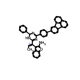 C/C=C(/C1=NC(c2ccc(-c3ccc4c(c3)-c3cccc5cccc-4c35)cc2)=NC(c2ccccc2)N1)c1c(N)oc2ccccc12